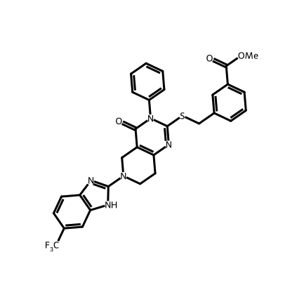 COC(=O)c1cccc(CSc2nc3c(c(=O)n2-c2ccccc2)CN(c2nc4ccc(C(F)(F)F)cc4[nH]2)CC3)c1